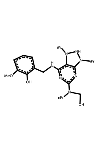 CCCN(CO)c1nc(NCc2cccc(OC)c2O)c2c(n1)N(C(C)C)NN2C(C)C